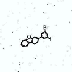 Brc1cc(I)cc(C2=Cc3oc4ccccc4c3CC2)c1